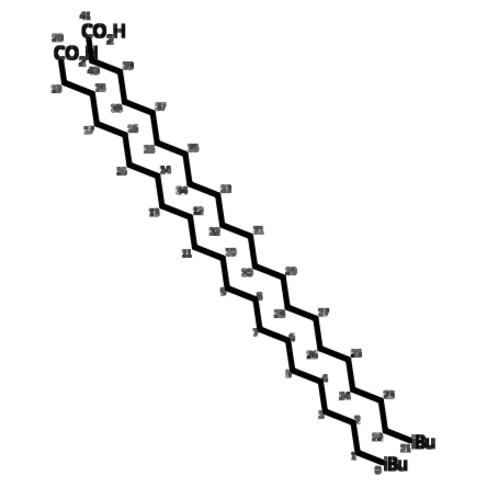 CCC(C)CCCCCCCCCCCCCCCCCCCC(=O)O.CCC(C)CCCCCCCCCCCCCCCCCCCC(=O)O